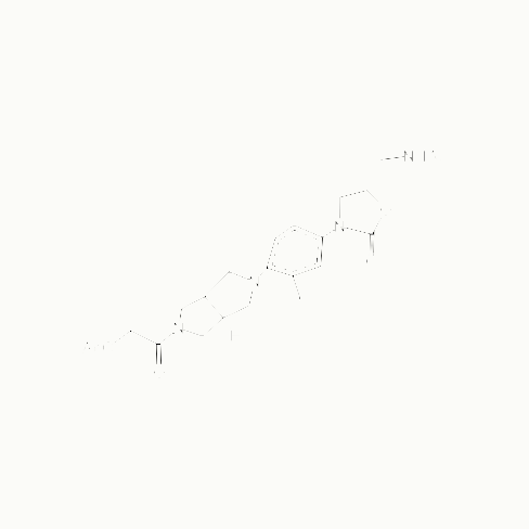 CC(=O)NC[C@H]1CN(c2ccc(N3C[C@H]4CN(C(=O)COC(C)=O)C[C@H]4C3)c(F)c2)C(=O)O1